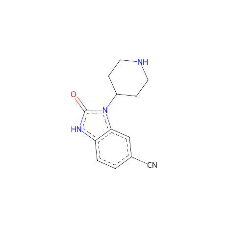 N#Cc1ccc2[nH]c(=O)n(C3CCNCC3)c2c1